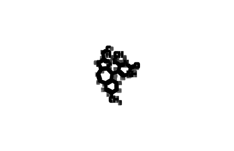 CCc1nc2c(s1)C=Cc1cc(C)ccc1C2c1c[nH]c(=O)nc1SC